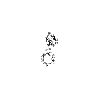 C1CCCCCC(CCCN2CCCN3CCCN=C32)CCCC1